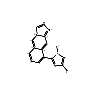 Cc1cn(C)c(-c2cccc3cn4ccnc4cc23)n1